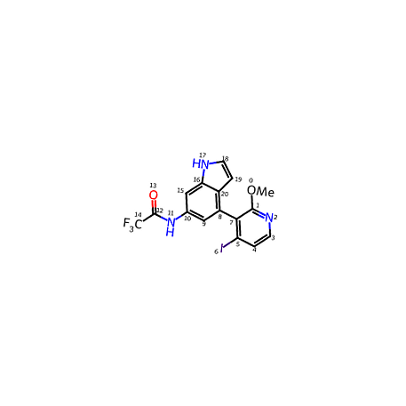 COc1nccc(I)c1-c1cc(NC(=O)C(F)(F)F)cc2[nH]ccc12